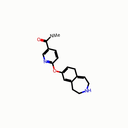 CNC(=O)c1ccc(OC2=CCC3=CCNCCC3=C2)nc1